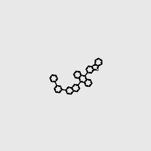 c1ccc(-c2cccc(-c3ccc4ccc(-c5c6ccccc6c(-c6ccc7c(c6)oc6ccccc67)c6ccccc56)cc4c3)c2)cc1